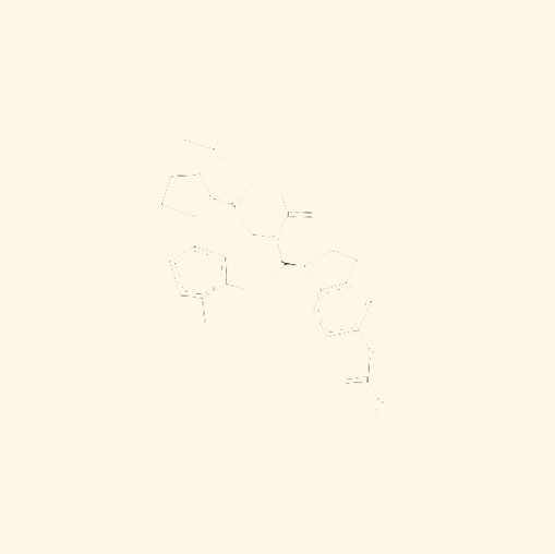 CNC(=O)Nc1ccc2c(c1)CC[C@@H]2C(=O)N(CC(=O)N1[C@H](c2ccc(F)c(Cl)c2)CC[C@@H]1C(F)(F)F)C(=O)O